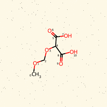 COCOC(C(=O)O)C(=O)O